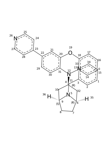 c1ccc(CN2[C@@H]3CC[C@H]2C[C@@H](N2c4ccccc4Oc4cc(-c5ccncc5)ccc42)C3)nc1